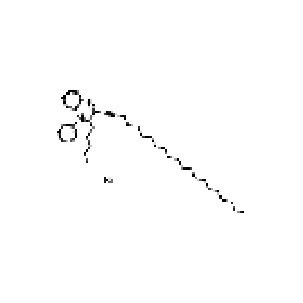 CCCCCCCCCCCCCCCCCCCC#CC(=Nc1ccccc1)C(CCCCC)=Nc1ccccc1.[Ni]